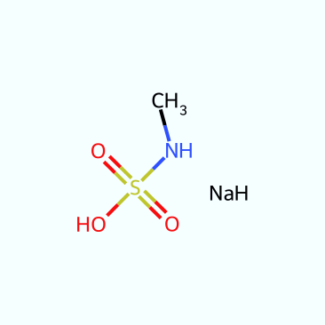 CNS(=O)(=O)O.[NaH]